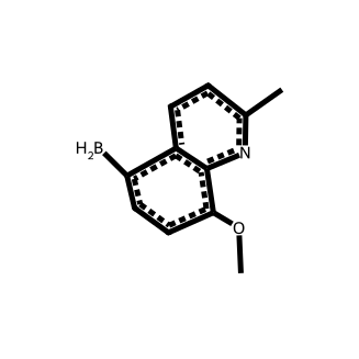 Bc1ccc(OC)c2nc(C)ccc12